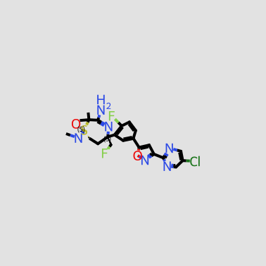 CN=[S@]1(=O)CC[C@@](CF)(c2cc(-c3cc(-c4ncc(Cl)cn4)no3)ccc2F)N=C(N)C1(C)C